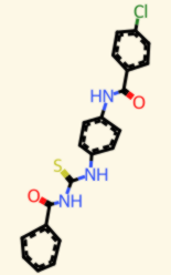 O=C(NC(=S)Nc1ccc(NC(=O)c2ccc(Cl)cc2)cc1)c1ccccc1